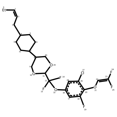 CC/C=C\CC1CCC(C2COC(C(F)(F)Oc3cc(F)c(OC=C(F)F)c(Cl)c3)OC2)CC1